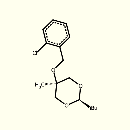 CCC(C)[C@H]1OC[C@@](C)(OCc2ccccc2Cl)CO1